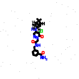 C[C@@H]1[C@H]2C[C@@H](C[C@H]1Nc1cnn(CC(=O)NCc3cccc(C(N)=O)c3)c(=O)c1Cl)C2(C)C